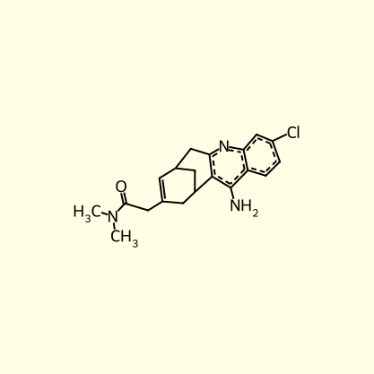 CN(C)C(=O)CC1=CC2Cc3nc4cc(Cl)ccc4c(N)c3C(C1)C2